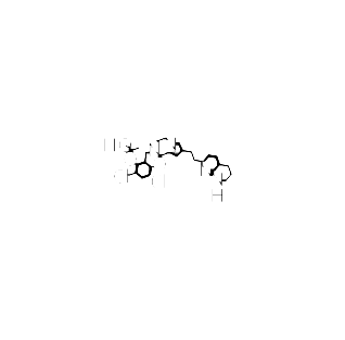 O=C(O)C[C@@H](c1cc(Cl)cc(Cl)c1)N1CCn2cc(CCc3ccc4c(n3)NCCC4)cc2C1=O